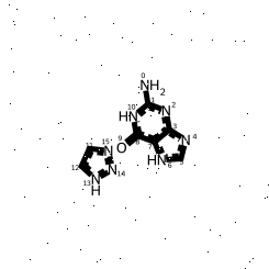 Nc1nc2nc[nH]c2c(=O)[nH]1.c1c[nH]nn1